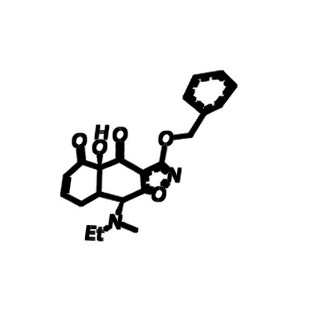 CCN(C)[C@@H]1c2onc(OCc3ccccc3)c2C(=O)[C@@]2(O)C(=O)C=CCC12